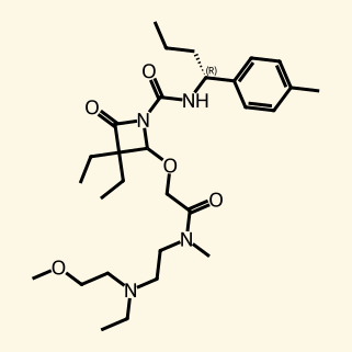 CCC[C@@H](NC(=O)N1C(=O)C(CC)(CC)C1OCC(=O)N(C)CCN(CC)CCOC)c1ccc(C)cc1